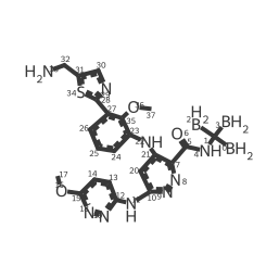 BC(B)(B)NC(=O)c1nnc(Nc2ccc(OC)nn2)cc1Nc1cccc(-c2ncc(CN)s2)c1OC